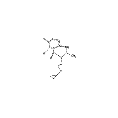 CC1Nn2ccc(=O)c(O)c2C(=O)N1CCOC1CC1